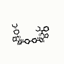 CCC(CC)[C@@H](C(=O)N1CCC[C@H]1c1ncc(-c2ccc(-c3ccc(-c4cnc([C@@H]5CCCN5C(=O)[C@H]5CC[C@@H](N(CC)CC)CC5)[nH]4)cc3)cc2)[nH]1)c1ccccc1